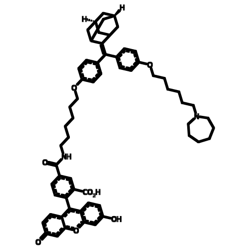 O=C(NCCCCCCOc1ccc(C(=C2C3C[C@H]4CC2C[C@@H](C3)C4)c2ccc(OCCCCCCN3CCCCCC3)cc2)cc1)c1ccc(-c2c3ccc(=O)cc-3oc3cc(O)ccc23)c(C(=O)O)c1